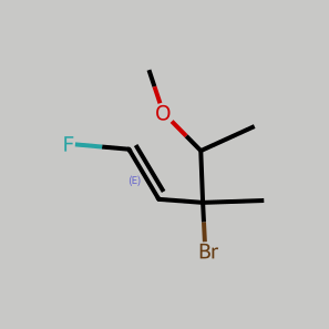 COC(C)C(C)(Br)/C=C/F